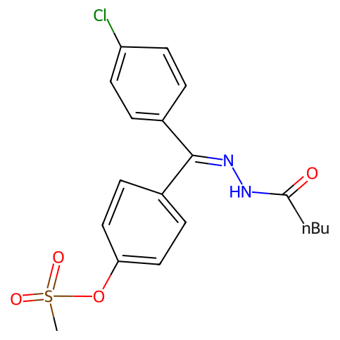 CCCCC(=O)NN=C(c1ccc(Cl)cc1)c1ccc(OS(C)(=O)=O)cc1